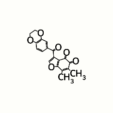 CC1=C(C)c2occ(C(=O)c3ccc4c(c3)OCCO4)c2C(=O)C1=O